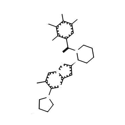 Cc1cn2nc([C@@H]3CCCCN3C(=O)c3cc(F)c(F)c(Cl)c3F)cc2nc1N1CC[C@H](C)C1